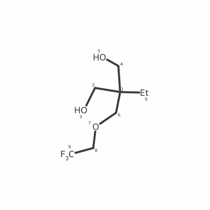 CCC(CO)(CO)COCC(F)(F)F